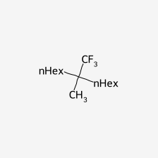 CCCCCCC(C)(CCCCCC)C(F)(F)F